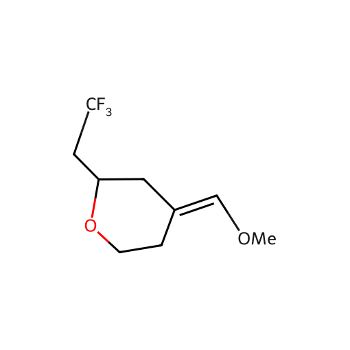 CO/C=C1\CCOC(CC(F)(F)F)C1